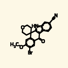 COc1cc2c(cc1Br)C(=O)c1c([nH]c3cc(C#N)ccc13)C21CCOCC1